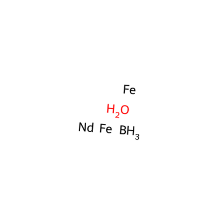 B.O.[Fe].[Fe].[Nd]